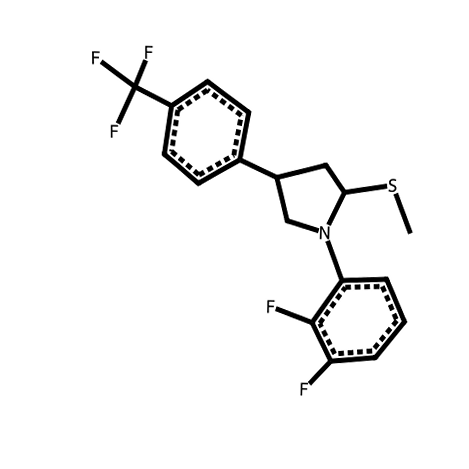 CSC1CC(c2ccc(C(F)(F)F)cc2)CN1c1cccc(F)c1F